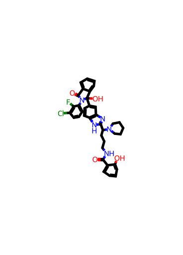 O=C(NCCCC(c1nc2cc(C3(O)c4ccccc4C(=O)N3c3cccc(Cl)c3F)ccc2[nH]1)N1CCCCC1)c1ccccc1O